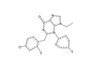 CCn1cnc2c(=O)nc(Cc3ccc(Cl)cc3F)n(-c3ccc(F)cc3)c21